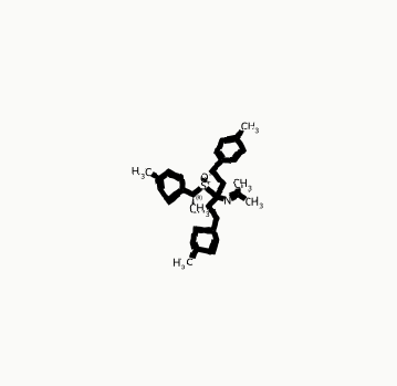 CC(C)=NC(CCc1ccc(C)cc1)(CCc1ccc(C)cc1)[S+]([O-])[C@H](C)c1ccc(C)cc1